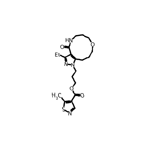 CCc1nn(CCCOC(=O)c2cnsc2C)c2c1C(=O)NCCCOCCC2